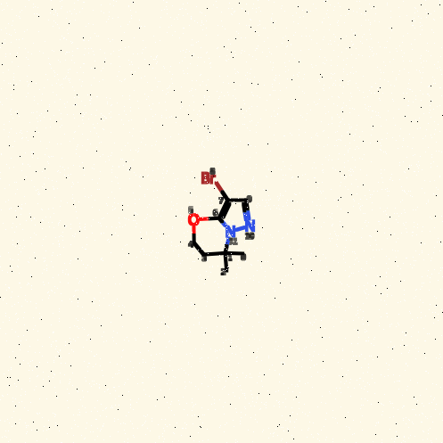 CC1(C)CCOc2c(Br)cnn21